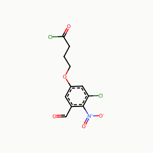 O=Cc1cc(OCCCC(=O)Cl)cc(Cl)c1[N+](=O)[O-]